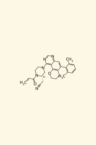 C=CC(=O)N1CCN(c2ncnc3cc(-c4c(C)cccc4C)c4c(c23)OCCC4)C[C@@H]1CC#N